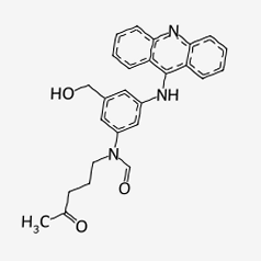 CC(=O)CCCN(C=O)c1cc(CO)cc(Nc2c3ccccc3nc3ccccc23)c1